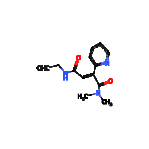 CN(C)C(=O)C(=CC(=O)NC[C]=O)c1ccccn1